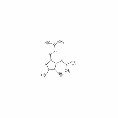 CC(C)CCC1CC(C)C(N)C1CC(C)C